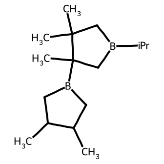 CC(C)B1CC(C)(C)C(C)(B2CC(C)C(C)C2)C1